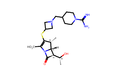 C[C@@H](O)[C@H]1C(=O)N2C(C(=O)O)=C(SC3CN(CC4CCN(C(=N)N)CC4)C3)[C@H](C)[C@H]12